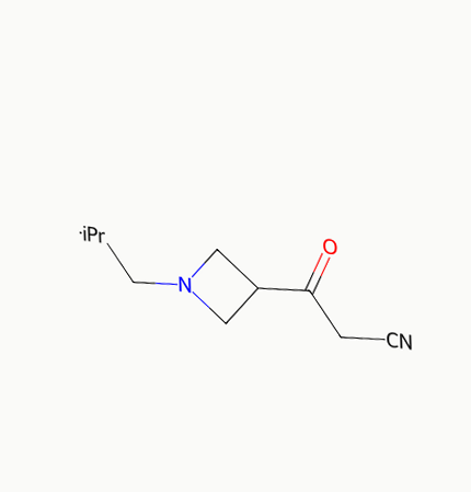 C[C](C)CN1CC(C(=O)CC#N)C1